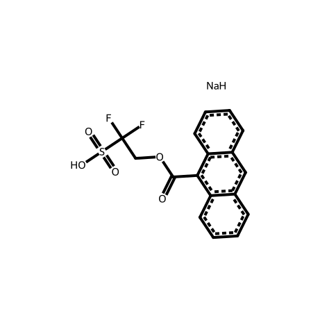 O=C(OCC(F)(F)S(=O)(=O)O)c1c2ccccc2cc2ccccc12.[NaH]